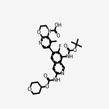 Cc1c(-c2cc3cc(NC(=O)OC4CCOCC4)ncc3c(NC(=O)OC(C)(C)C)c2F)cnc2c1N(C(=O)O)CCO2